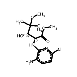 COC(=O)[C@@H](Nc1nc(Cl)ccc1N)[C@H](O)C(C)(C)OC